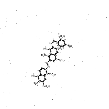 Nc1c(S(=O)(=O)O)cc2c(S(=O)(=O)O)c(/N=N/c3cc(S(=O)(=O)O)c4cc(S(=O)(=O)O)c(/N=N\c5ccc([N+](=O)[O-])cc5S(=O)(=O)O)c(O)c4c3N)ccc2c1O